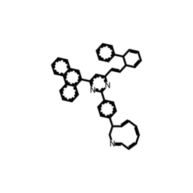 C1=CC(/C=C/c2cc(-c3cc4ccccc4c4ccccc34)nc(-c3ccc(C4/C=C/C=C\C=C/C=N/C4)cc3)n2)C(c2ccccc2)C=C1